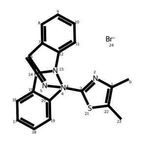 Cc1nc([N+]23N=C4c5ccccc5N2N4c2ccccc23)sc1C.[Br-]